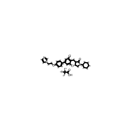 O=C(O)C(F)(F)F.O=C1C(Cc2c(Cl)cc(-c3ccc(OCCn4ccnc4)cc3)cc2Cl)CCN1C1CCCCC1